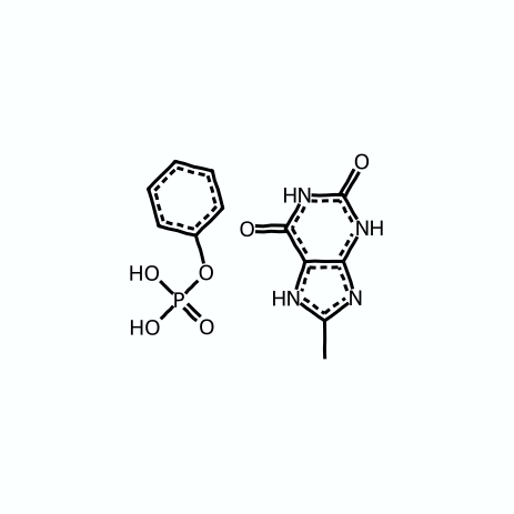 Cc1nc2[nH]c(=O)[nH]c(=O)c2[nH]1.O=P(O)(O)Oc1ccccc1